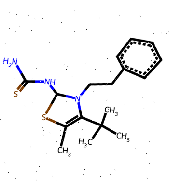 CC1=C(C(C)(C)C)N(CCc2ccccc2)C(NC(N)=S)S1